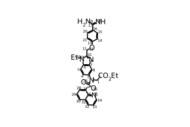 CCOC(=O)CN(c1ccc2c(c1)nc(COc1ccc(C(=N)N)cc1)n2CC)S(=O)(=O)c1cccc2cccnc12